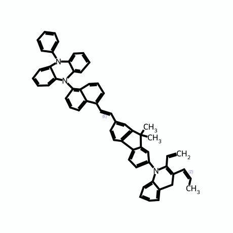 C=CC1=C(/C=C\C)Cc2ccccc2N1c1ccc2c(c1)C(C)(C)c1cc(/C=C/c3cccc4c(N5c6ccccc6N(c6ccccc6)c6ccccc65)cccc34)ccc1-2